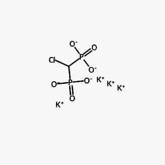 O=P([O-])([O-])C(Cl)P(=O)([O-])[O-].[K+].[K+].[K+].[K+]